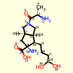 C[C@H](N)C(=O)N1C[C@@H]2C[C@](N)(C(=O)O)[C@H](CCCB(O)O)[C@@H]2C1